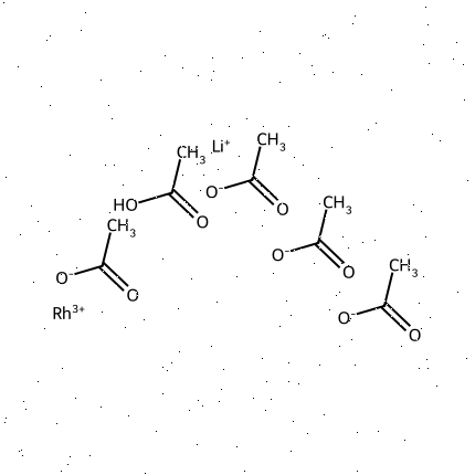 CC(=O)O.CC(=O)[O-].CC(=O)[O-].CC(=O)[O-].CC(=O)[O-].[Li+].[Rh+3]